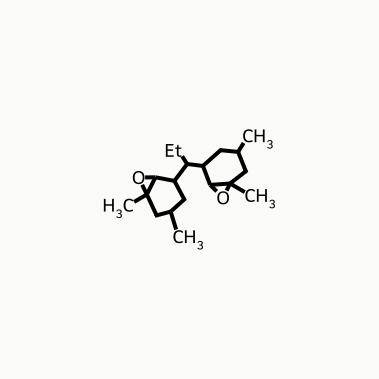 CCC(C1CC(C)CC2(C)OC12)C1CC(C)CC2(C)OC12